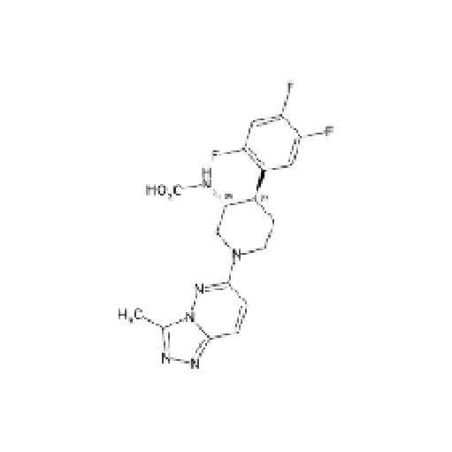 Cc1nnc2ccc(N3CC[C@H](c4cc(F)c(F)cc4F)[C@@H](NC(=O)O)C3)nn12